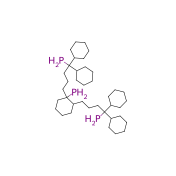 PC1(CCCC(P)(C2CCCCC2)C2CCCCC2)CCCCC1CCCC(P)(C1CCCCC1)C1CCCCC1